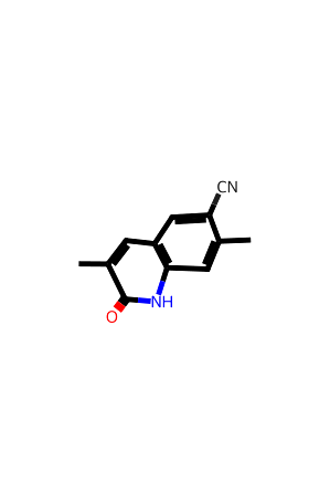 Cc1cc2[nH]c(=O)c(C)cc2cc1C#N